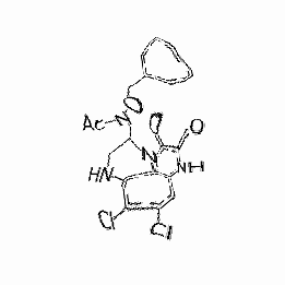 CC(=O)N(OCc1ccccc1)C1CNc2c(Cl)c(Cl)cc3[nH]c(=O)c(=O)n1c23